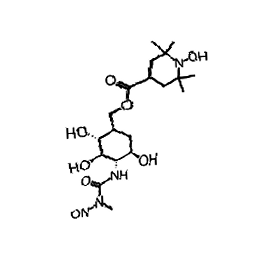 CN(N=O)C(=O)N[C@@H]1[C@@H](O)[C@H](O)[C@@H](COC(=O)C2CC(C)(C)N(O)C(C)(C)C2)C[C@H]1O